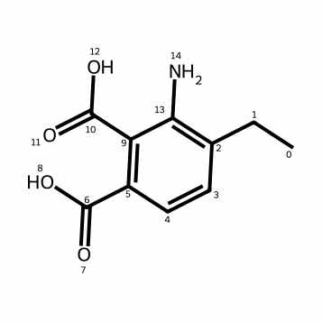 CCc1ccc(C(=O)O)c(C(=O)O)c1N